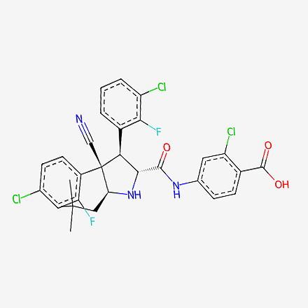 CC(C)(C)C[C@@H]1N[C@@H](C(=O)Nc2ccc(C(=O)O)c(Cl)c2)[C@H](c2cccc(Cl)c2F)[C@@]1(C#N)c1ccc(Cl)cc1F